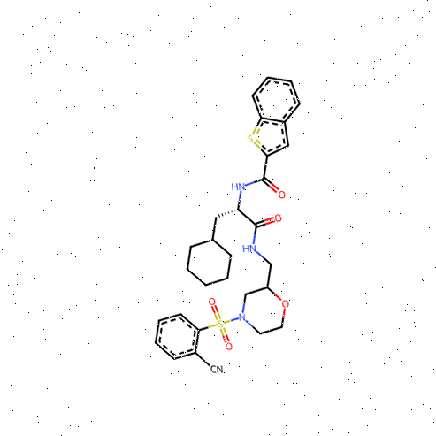 N#Cc1ccccc1S(=O)(=O)N1CCOC(CNC(=O)[C@H](CC2CCCCC2)NC(=O)c2cc3ccccc3s2)C1